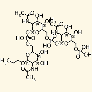 CCCO[C@H]1OC(COP(=O)(O)O[C@H]2OC(COP(=O)(O)O[C@H]3OC(COP(=O)(O)O)[C@@H](O)[C@H](O)C3NC(C)=O)[C@@H](O)[C@H](O)C2NC(C)=O)[C@@H](O)[C@H](O)C1NC(C)=O